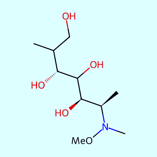 CON(C)[C@H](C)[C@@H](O)C(O)[C@H](O)C(C)CO